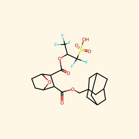 O=C(OCC12CC3CC(CC(C3)C1)C2)C1C2CCC(O2)C1C(=O)OC(C(F)(F)F)C(F)(F)S(=O)(=O)O